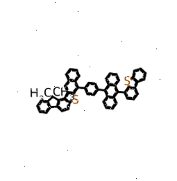 CC1(C)c2ccccc2-c2ccc3sc4c(-c5ccc(-c6c7ccccc7c(-c7cccc8c7sc7ccccc78)c7ccccc67)cc5)c5ccccc5cc4c3c21